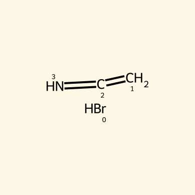 Br.C=C=N